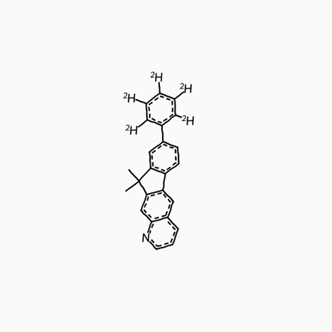 [2H]c1c([2H])c([2H])c(-c2ccc3c(c2)C(C)(C)c2cc4ncccc4cc2-3)c([2H])c1[2H]